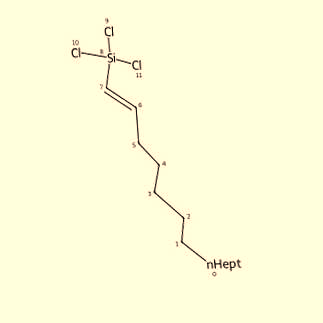 CCCCCCCCCCCCC=C[Si](Cl)(Cl)Cl